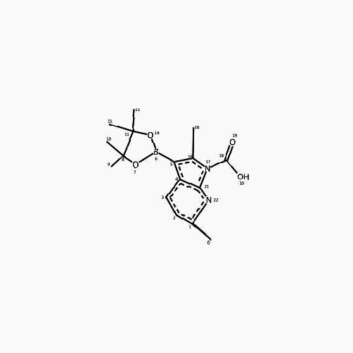 Cc1ccc2c(B3OC(C)(C)C(C)(C)O3)c(C)n(C(=O)O)c2n1